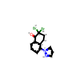 O=C1c2cccc(-n3cccn3)c2CCC1(Br)Br